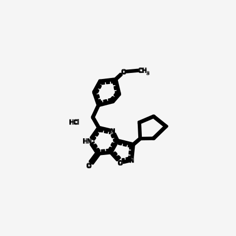 COc1ccc(Cc2nc3c(C4CCCC4)noc3c(=O)[nH]2)cc1.Cl